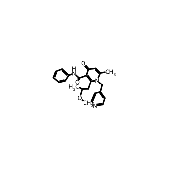 COC(C)Cc1c(C(=O)Nc2ccccc2)c(=O)cc(C)n1Cc1ccncc1